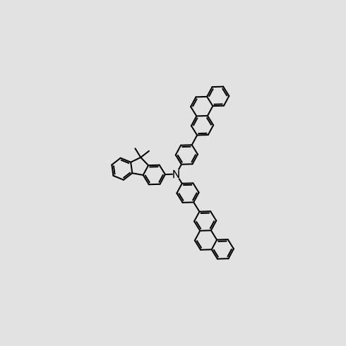 CC1(C)c2ccccc2-c2ccc(N(c3ccc(-c4ccc5c(ccc6ccccc65)c4)cc3)c3ccc(-c4ccc5c(ccc6ccccc65)c4)cc3)cc21